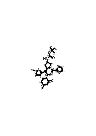 Cn1ccc(C2=C3C[C@H](NC(=O)OC(C)(C)C)CN3C(c3nccs3)=N[C@H]2c2ccc(F)cc2Cl)n1